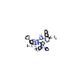 CC1CCCCN(c2cncc(C3NC4=C(N=C3c3cccc5c3c3ccccc3n5-c3ccccc3)C(C)(C)c3ccc(C5=CC=CCC5)cc34)c2)c2cc3ccccc3cc21